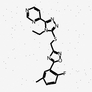 CCn1c(SCc2noc(-c3cc(C)ccc3F)n2)nnc1-c1ccncn1